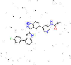 CC(C)C(=O)Nc1cncc(-c2ccc3[nH]nc(-c4cc5c(-c6ccc(F)cc6)cccc5[nH]4)c3c2)c1